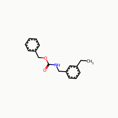 CCc1cccc(CNC(=O)OCc2ccccc2)c1